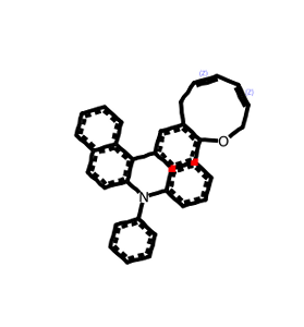 C1=C\COc2ccc(-c3c(N(c4ccccc4)c4ccccc4)ccc4ccccc34)cc2C\C=C/1